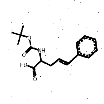 CC(C)(C)OC(=O)NC(C/C=C/c1ccccc1)C(=O)O